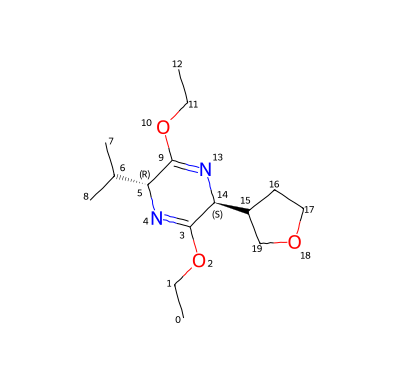 CCOC1=N[C@H](C(C)C)C(OCC)=N[C@H]1C1CCOC1